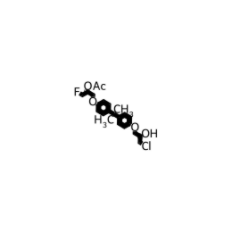 CC(=O)O[C@@H](CF)COc1ccc(C(C)(C)c2ccc(OC[C@@H](O)CCl)cc2)cc1